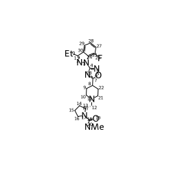 CCc1nn(-c2noc(C3CCN(C[C@H]4CCCN4C(=O)NC)CC3)n2)c2c(F)cccc12